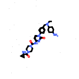 CCN(Cc1ccc(-n2ccc(NC(=O)N3CCN(C(=O)C4(N)CC4)CC3)nc2=O)cc1)C1CCC(N)CC1